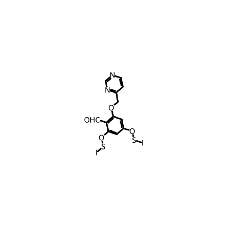 O=Cc1c(OCc2ccncn2)cc(OSI)cc1OSI